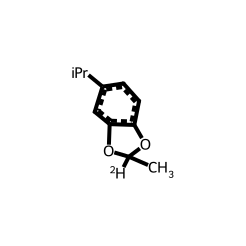 [2H]C1(C)Oc2ccc(C(C)C)cc2O1